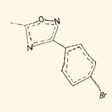 Cc1nc(-c2ccc(Br)cc2)no1